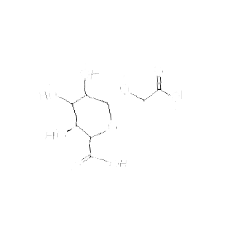 O=C(O)CO[C@@H]1OC(C(=O)O)[C@@H](O)C(O)C1O